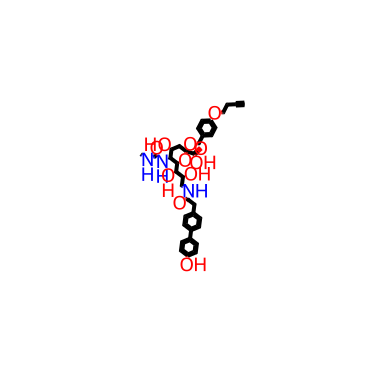 C#CCCOc1ccc(CO[C@]2(C(=O)O)C[C@H](O)[C@@H](NC(=O)NC)[C@H]([C@H](O)[C@H](O)CNC(=O)Cc3ccc(-c4ccc(O)cc4)cc3)O2)cc1